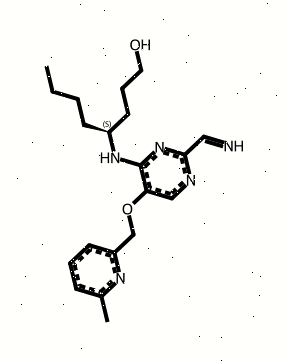 CCCC[C@@H](CCCO)Nc1nc(C=N)ncc1OCc1cccc(C)n1